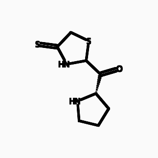 O=C(C1NC(=S)CS1)[C@@H]1CCCN1